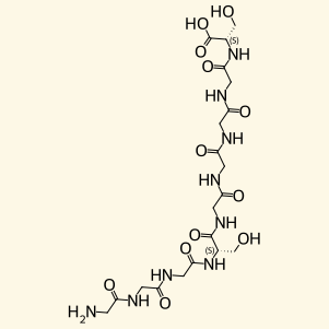 NCC(=O)NCC(=O)NCC(=O)N[C@@H](CO)C(=O)NCC(=O)NCC(=O)NCC(=O)NCC(=O)N[C@@H](CO)C(=O)O